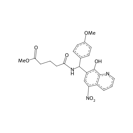 COC(=O)CCCC(=O)NC(c1ccc(OC)cc1)c1cc([N+](=O)[O-])c2cccnc2c1O